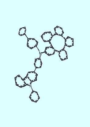 c1ccc(-c2ccc(N(c3ccc(-c4ccc5c(c4)c4ccccc4n5-c4ccccc4)cc3)c3ccc4c5ccccc5c5ccccc5c5ccccc5c5ccccc5c4c3)cc2)cc1